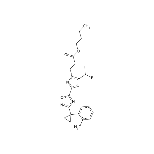 CCCCOC(=O)CCn1nc(-c2nc(C3(c4ccccc4C)CC3)no2)cc1C(F)F